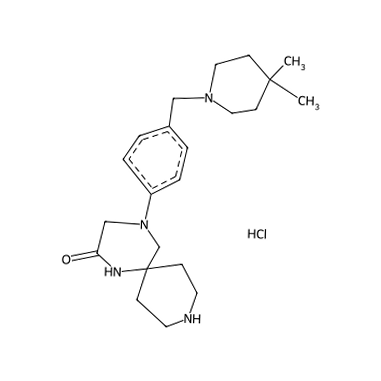 CC1(C)CCN(Cc2ccc(N3CC(=O)NC4(CCNCC4)C3)cc2)CC1.Cl